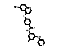 Cc1cc(NC(=O)c2ccc(Nc3ccnc4ccc(C#N)cc34)cc2)cc(Nc2ccncc2)c1